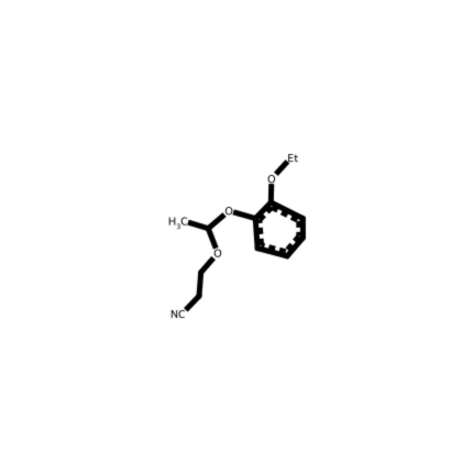 CCOc1ccccc1OC(C)OCCC#N